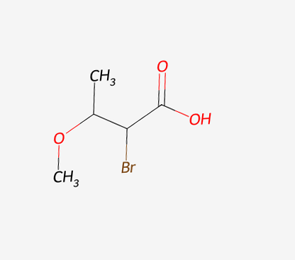 COC(C)C(Br)C(=O)O